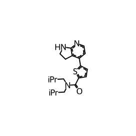 CC(C)CN(CC(C)C)C(=O)c1ccc(-c2ccnc3c2CCN3)s1